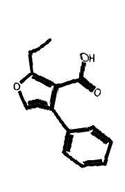 CCc1occ(-c2ccccc2)c1C(=O)O